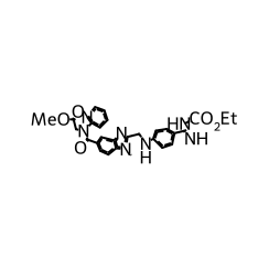 CCOC(=O)NC(=N)c1ccc(NCc2nc3cc(C(=O)N(CC(=O)OC)c4ccccn4)ccc3n2C)cc1